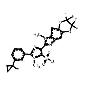 CCS(=O)(=O)c1c(-c2nc3cc4c(cc3n2C)OC(F)(F)C(F)(F)O4)nc(-c2cccc(C3(F)CC3)c2)n1C